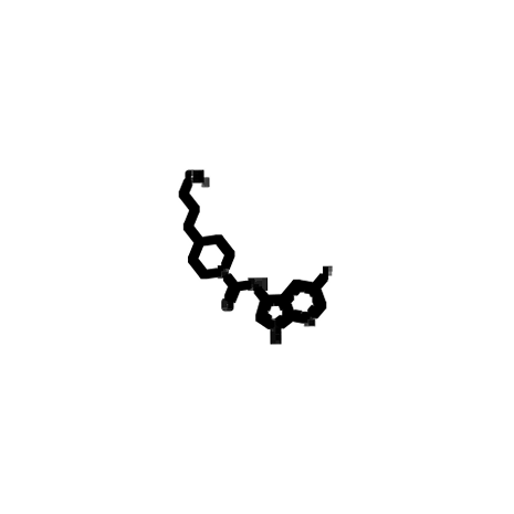 CCCCC1CCN(C(=O)Nc2c[nH]c3ncc(F)cc23)CC1